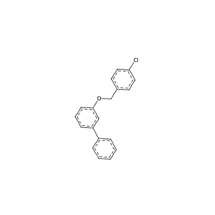 Clc1ccc(COc2cccc(-c3ccccc3)c2)cc1